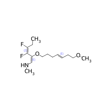 CC/C(F)=C(F)\C(=C/NC)OCCC/C=C/CCOC